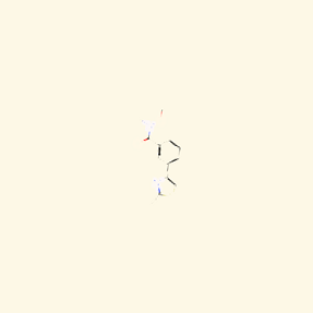 CON(C)C(=O)c1cccc(-c2csc(C)n2)c1